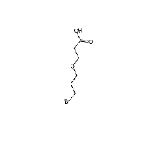 O=C(O)CCOCCCBr